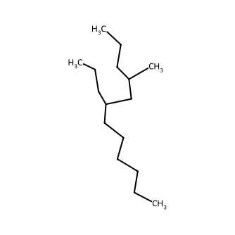 CCCCCCC(CCC)CC(C)CCC